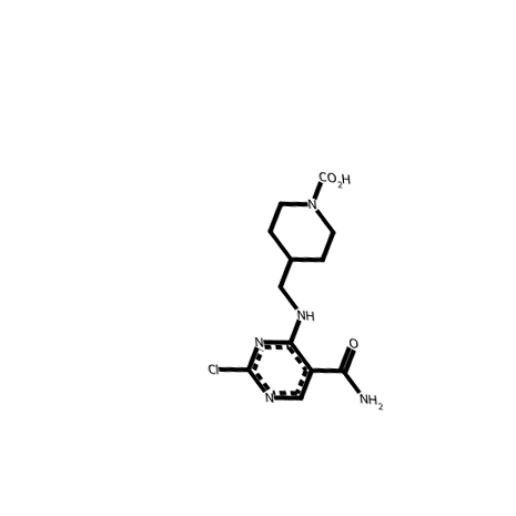 NC(=O)c1cnc(Cl)nc1NCC1CCN(C(=O)O)CC1